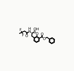 CC(F)(F)CC(=O)N[C@H]1Cc2cccc(C(=O)OCc3ccccc3)c2OB1O